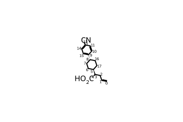 C=CCC(C(=O)O)[C@H]1CC[C@H](c2ccc(C#N)cc2)CC1